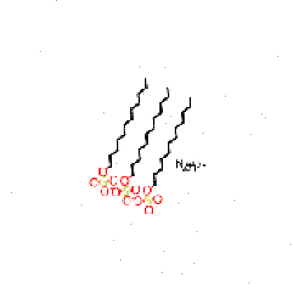 CCCCCCCCCCCCOS(=O)(=O)[O-].CCCCCCCCCCCCOS(=O)(=O)[O-].CCCCCCCCCCCCOS(=O)(=O)[O-].[Na+].[Zn+2]